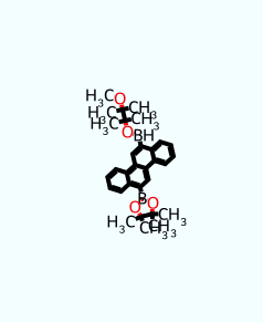 COC(C)(C)C(C)(C)OBc1cc2c3ccccc3c(B3OC(C)(C)C(C)(C)O3)cc2c2ccccc12